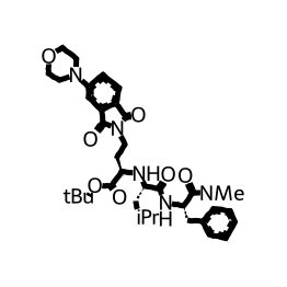 CNC(=O)[C@H](Cc1ccccc1)NC(=O)[C@H](CC(C)C)N[C@H](CCN1C(=O)c2ccc(N3CCOCC3)cc2C1=O)C(=O)OC(C)(C)C